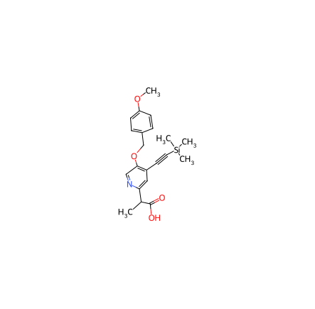 COc1ccc(COc2cnc(C(C)C(=O)O)cc2C#C[Si](C)(C)C)cc1